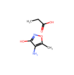 CCC(=O)O.Cc1onc(O)c1N